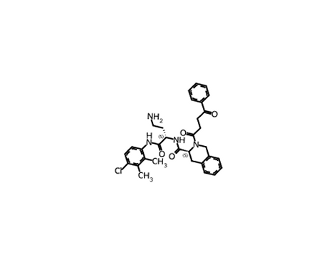 Cc1c(Cl)ccc(NC(=O)[C@H](CCN)NC(=O)[C@@H]2Cc3ccccc3CN2C(=O)CCC(=O)c2ccccc2)c1C